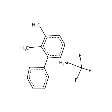 Cc1cccc(-c2ccccc2)c1C.FC(F)(F)[SiH3]